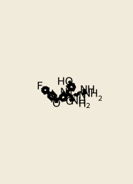 N=C(N)NCCC[C@H](C(N)=O)n1c(-c2cccc(O)c2)nc2cc(C(=O)N3CCN(c4ccc(F)cc4)CC3)ccc21